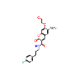 COc1cc2cc(C(=O)NCCCc3ccc(F)cc3)c(=O)oc2cc1OCCO